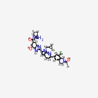 COc1cc(C(=O)N2CC3CCC2[C@@H]3N)cc2nc(-c3cc4ccc(-c5cc(F)c6c(c5)CCN(C(C)=O)C6)nc4n3CC3CC3)n(C)c12